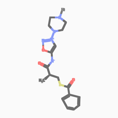 CCN1CCN([n+]2cc([N-]C(=O)[C@H](C)CSC(=O)c3ccccc3)on2)CC1